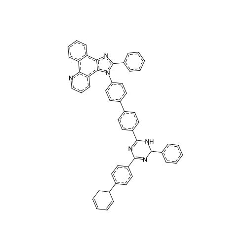 C1=CCC(c2ccc(C3=NC(c4ccccc4)NC(c4ccc(-c5ccc(-n6c(-c7ccccc7)nc7c8ccccc8c8ncccc8c76)cc5)cc4)=N3)cc2)C=C1